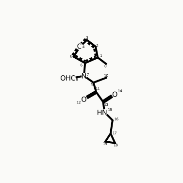 Cc1ccccc1N(C=O)C(C)C(=O)C(=O)NCC1CC1